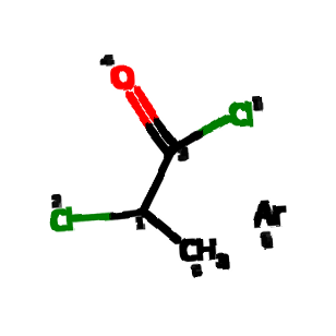 CC(Cl)C(=O)Cl.[Ar]